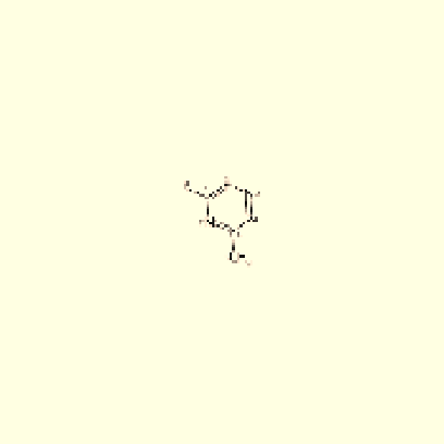 CC1=[C]N=[C]C(C(F)(F)F)=[N+]1